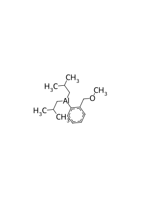 COCc1cccc[c]1[Al]([CH2]C(C)C)[CH2]C(C)C